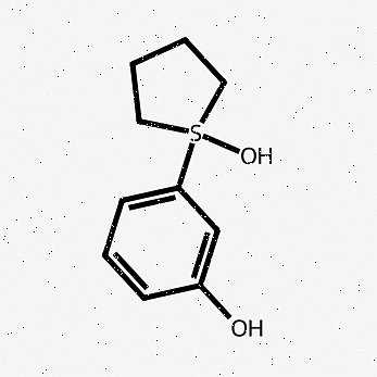 Oc1cccc(S2(O)CCCC2)c1